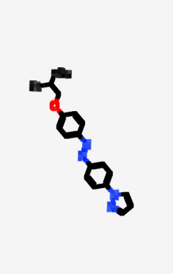 CCCCC(CC)COc1ccc(/N=N/c2ccc(-n3cccn3)cc2)cc1